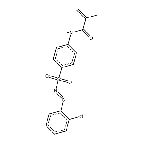 C=C(C)C(=O)Nc1ccc(S(=O)(=O)N=Nc2ccccc2Cl)cc1